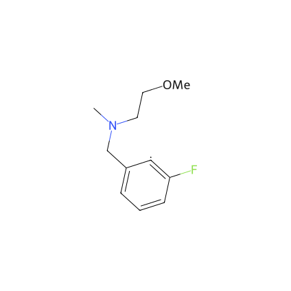 COCCN(C)Cc1[c]c(F)ccc1